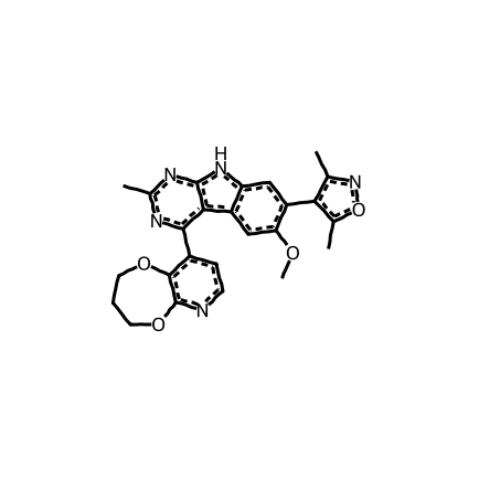 COc1cc2c(cc1-c1c(C)noc1C)[nH]c1nc(C)nc(-c3ccnc4c3OCCCO4)c12